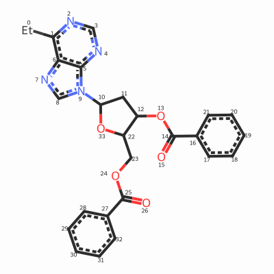 CCc1ncnc2c1ncn2C1CC(OC(=O)c2ccccc2)C(COC(=O)c2ccccc2)O1